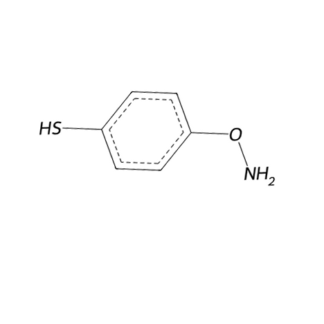 NOc1ccc(S)cc1